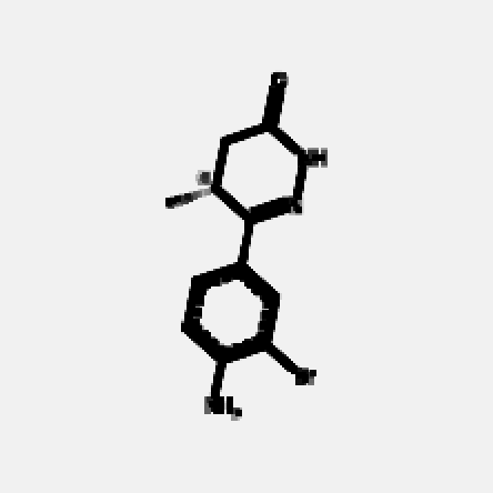 C[C@@H]1CC(=O)NN=C1c1ccc(N)c(Br)c1